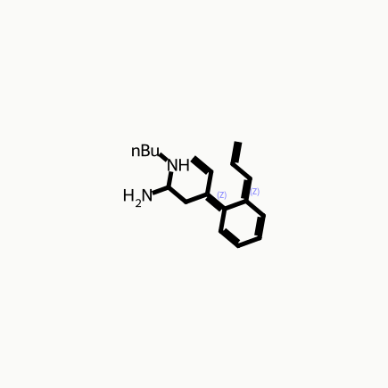 C=C/C=c1/cccc/c1=C(/C=C)CC(N)NCCCC